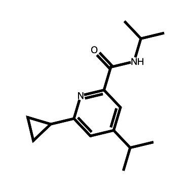 CC(C)NC(=O)c1cc(C(C)C)cc(C2CC2)n1